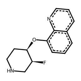 F[C@H]1CNCC[C@H]1Oc1cccc2cccnc12